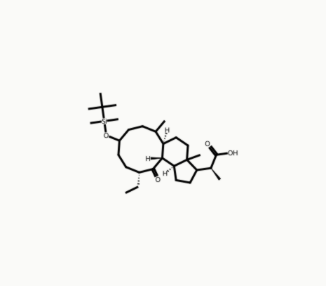 CC[C@@H]1CCC(O[Si](C)(C)C(C)(C)C)CCC(C)[C@H]2CCC3(C)C([C@H](C)C(=O)O)CC[C@H]3[C@@H]2C1=O